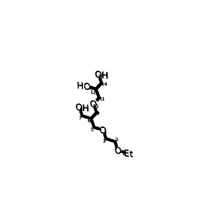 CCOCCOCC(CO)COCC(O)CO